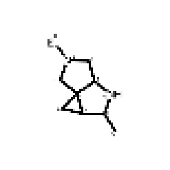 CCN1CC2NC(C)C3CC23C1